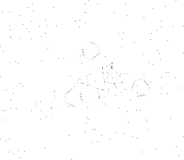 CC(C)[Si](Oc1ccc2c(c1)OC(C)(C)[C@H]1[C@H]3C(=O)N(Cc4ccccc4)C(=O)[C@H]3[C@@H](c3ccccc3)C[C@@H]21)(C(C)C)C(C)C